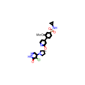 COc1cc(S(=O)(=O)NC2CC2)ccc1-c1ccnc(O[C@@H]2CCN(c3cn[nH]c(=O)c3Cl)C2)c1